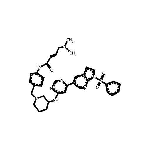 CN(C)CC=CC(=O)Nc1ccc(CN2CCCC(Nc3cc(-c4cnc5c(ccn5S(=O)(=O)c5ccccc5)c4)ncn3)C2)cc1